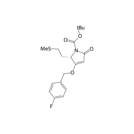 CSCC[C@H]1C(OCc2ccc(F)cc2)=CC(=O)N1C(=O)OC(C)(C)C